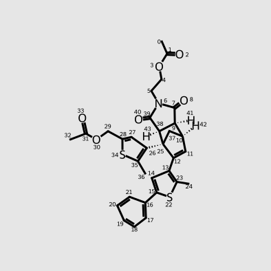 CC(=O)OCCN1C(=O)[C@H]2[C@H]3C=C(c4cc(-c5ccccc5)sc4C)[C@](c4cc(COC(C)=O)sc4C)(C3)[C@H]2C1=O